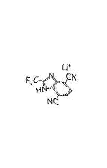 N#Cc1ccc(C#N)c2[nH]c(C(F)(F)F)nc12.[Li+]